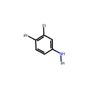 CCc1cc(NC(C)C)ccc1C(C)C